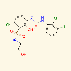 O=C(Nc1ccc(Cl)c(S(=O)(=O)NCCO)c1O)Nc1cccc(Cl)c1Cl